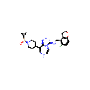 N/N=C1/C(C2=CCN([S+]([O-])C3CC3)CC2)=CNC=CN1CNCc1c(F)ccc2c1CCO2